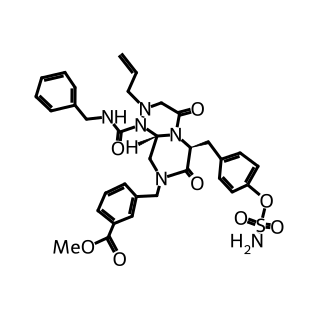 C=CCN1CC(=O)N2[C@@H](Cc3ccc(OS(N)(=O)=O)cc3)C(=O)N(Cc3cccc(C(=O)OC)c3)C[C@@H]2N1C(=O)NCc1ccccc1